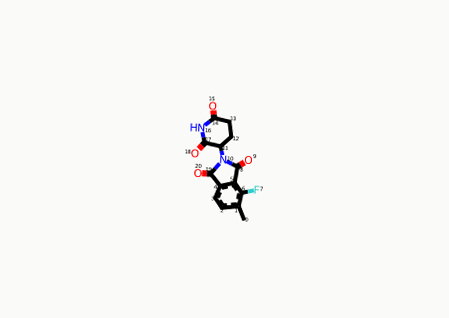 Cc1ccc2c(c1F)C(=O)N(C1CCC(=O)NC1=O)C2=O